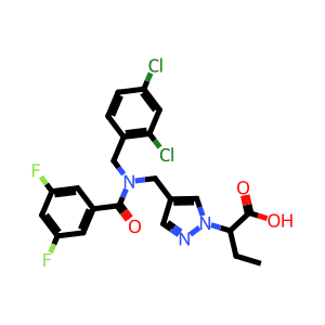 CCC(C(=O)O)n1cc(CN(Cc2ccc(Cl)cc2Cl)C(=O)c2cc(F)cc(F)c2)cn1